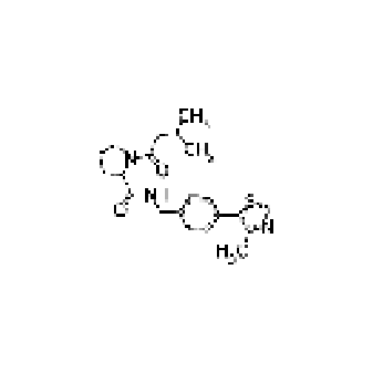 Cc1ncsc1-c1ccc(CNC(=O)C2CCCN2C(=O)CC(C)C)cc1